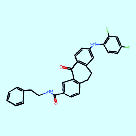 O=C(NCCc1ccccc1)c1ccc2c(c1)C(=O)c1ccc(Nc3ccc(F)cc3F)cc1CC2